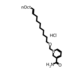 CCCCCCCCC=CCCCCCCCCOCN1C=CC=C(C(N)=O)C1.Cl